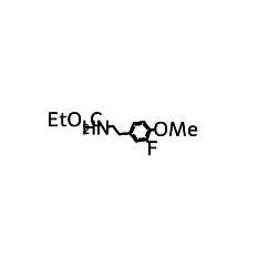 CCOC(=O)NCCc1ccc(OC)c(F)c1